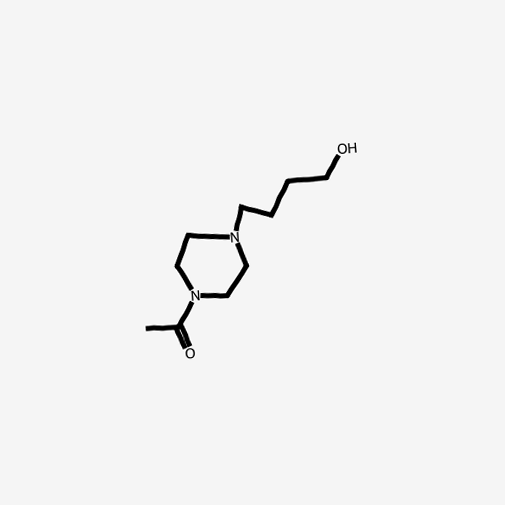 CC(=O)N1CCN(CCCCO)CC1